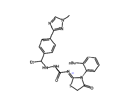 CCCCc1ccccc1N1C(=O)CS/C1=N\C(=O)NNC(CC)c1ccc(-c2ncn(C)n2)cc1